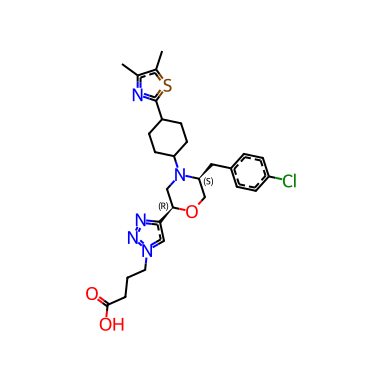 Cc1nc(C2CCC(N3C[C@H](c4cn(CCCC(=O)O)nn4)OC[C@@H]3Cc3ccc(Cl)cc3)CC2)sc1C